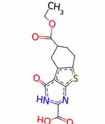 CCOC(=O)C1CCc2sc3nc(C(=O)O)[nH]c(=O)c3c2C1